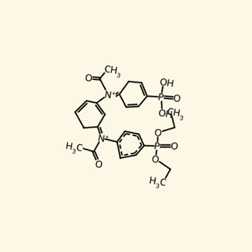 CCOP(=O)(OCC)c1ccc([N+](C(C)=O)=C2C=C([N+](C(C)=O)=C3C=CC(P(=O)(O)O)=CC3)C=CC2)cc1